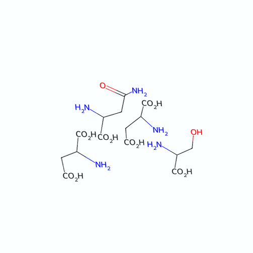 NC(=O)CC(N)C(=O)O.NC(CC(=O)O)C(=O)O.NC(CC(=O)O)C(=O)O.NC(CO)C(=O)O